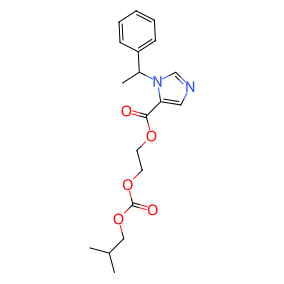 CC(C)COC(=O)OCCOC(=O)c1cncn1C(C)c1ccccc1